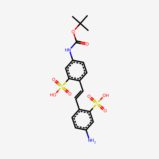 CC(C)(C)OC(=O)Nc1ccc(C=Cc2ccc(N)cc2S(=O)(=O)O)c(S(=O)(=O)O)c1